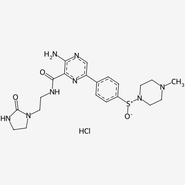 CN1CCN([S+]([O-])c2ccc(-c3cnc(N)c(C(=O)NCCN4CCNC4=O)n3)cc2)CC1.Cl